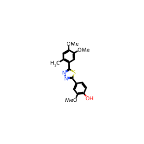 COc1cc(-c2nnc(-c3cc(OC)c(OC)cc3C)s2)ccc1O